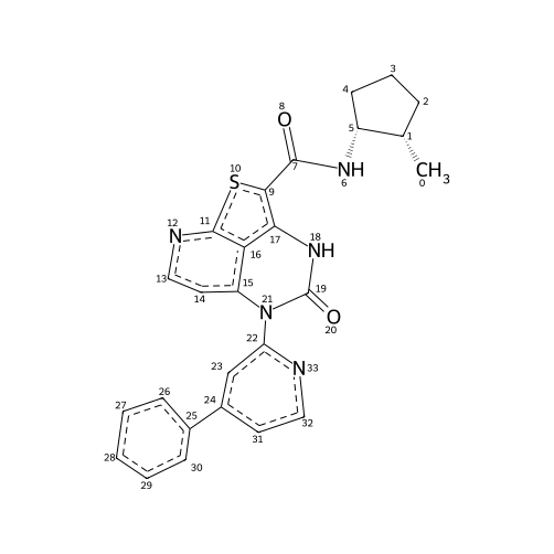 C[C@H]1CCC[C@H]1NC(=O)c1sc2nccc3c2c1NC(=O)N3c1cc(-c2ccccc2)ccn1